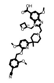 COc1cc(C#N)ccc1COc1nc(C2(C)CCN(Cc3nc4c(OC)cc(C(=O)O)cc4n3C[C@@H]3CCO3)CC2)ccc1OC